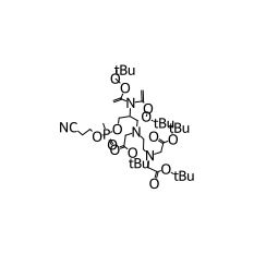 C=C(OOC(C)(C)C)N(C(=C)OOC(C)(C)C)C(COP(C)(=O)OCCC#N)CN(CCN(CC(=O)OC(C)(C)C)CC(=O)OC(C)(C)C)CC(=O)OC(C)(C)C